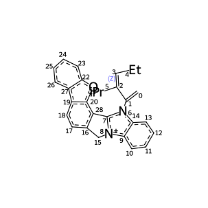 C=C(/C(=C\CC)C(C)C)n1c2[n+](c3ccccc31)Cc1ccc3c(oc4ccccc43)c1-2